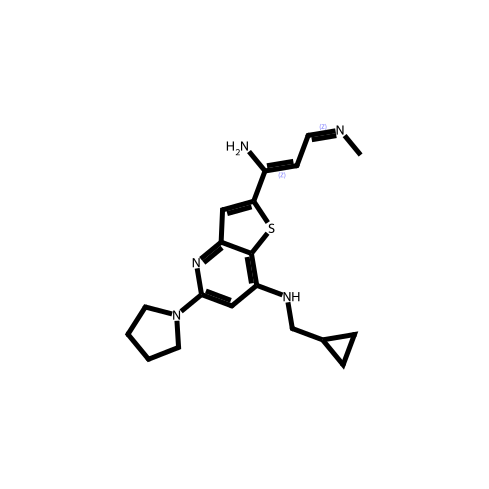 C/N=C\C=C(/N)c1cc2nc(N3CCCC3)cc(NCC3CC3)c2s1